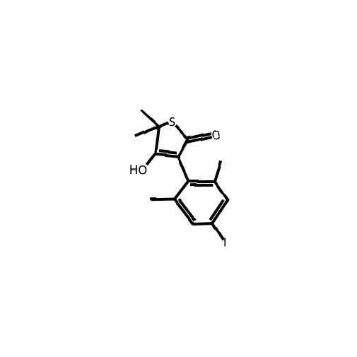 Cc1cc(I)cc(C)c1C1=C(O)C(C)(C)SC1=O